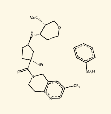 CO[C@@H]1COCC[C@@H]1N[C@@H]1CC[C@@](C(=O)N2CCc3ncc(C(F)(F)F)cc3C2)(C(C)C)C1.O=S(=O)(O)c1ccccc1